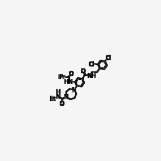 CCNC(=O)N1CCCN(c2ccc(C(=O)NCCc3ccc(Cl)cc3Cl)cc2NC(=O)C(C)C)CC1